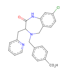 O=C(O)c1ccc(CN2Cc3ccc(Cl)cc3NC(=O)C2Cc2ccccn2)cc1